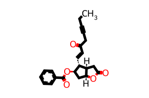 CCC#CCC(=O)C=C[C@@H]1[C@H]2CC(=O)O[C@H]2C[C@H]1OC(=O)c1ccccc1